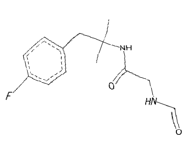 CC(C)(Cc1ccc(F)cc1)NC(=O)CNC=O